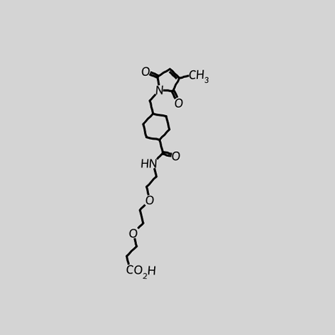 CC1=CC(=O)N(CC2CCC(C(=O)NCCOCCOCCC(=O)O)CC2)C1=O